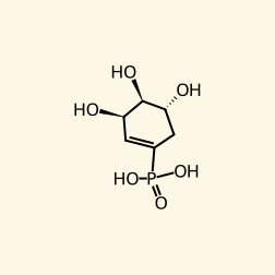 O=P(O)(O)C1=C[C@@H](O)[C@@H](O)[C@H](O)C1